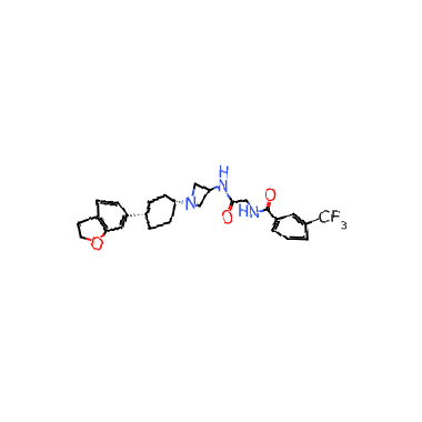 O=C(CNC(=O)c1cccc(C(F)(F)F)c1)NC1CN([C@H]2CC[C@@H](c3ccc4c(c3)OCC4)CC2)C1